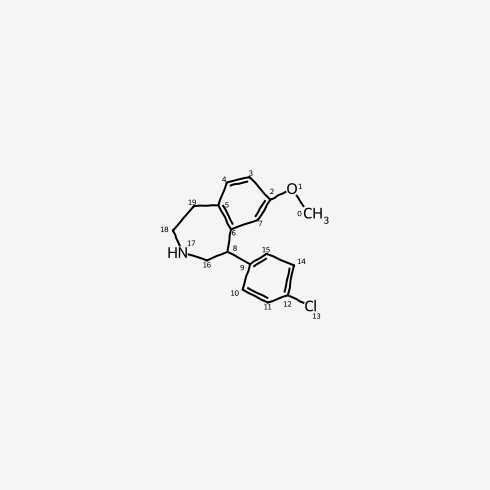 COc1ccc2c(c1)C(c1ccc(Cl)cc1)CNCC2